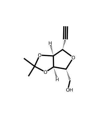 C#C[C@@H]1O[C@H](CO)[C@H]2OC(C)(C)O[C@H]21